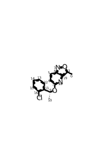 Cc1onc2ccc(O[C@H](C)c3ccccc3Cl)nc12